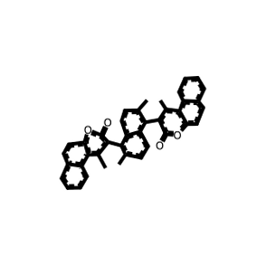 Cc1ccc2c(-c3c(C)c4c(ccc5ccccc54)oc3=O)c(C)ccc2c1-c1c(C)c2c(ccc3ccccc32)oc1=O